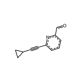 O=Cc1cccc(C#CC2CC2)n1